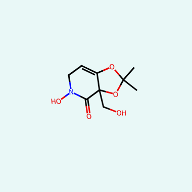 CC1(C)OC2=CCN(O)C(=O)C2(CO)O1